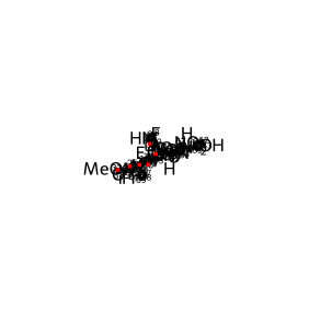 CCOc1nc2[nH]cc(F)c2cc1Oc1cc(N2CCC3(CC2)CC(N2CCN(CCC(=O)OC)C[C@H]2c2ccccc2C(C)C)C3)ccc1C(=O)NS(=O)(=O)c1cnc(NCC2CCC(C)(O)CC2)c([N+](=O)[O-])c1